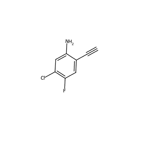 C#Cc1cc(F)c(Cl)cc1N